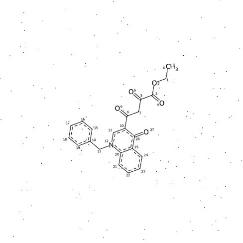 CCOC(=O)C(=O)CC(=O)c1cn(Cc2ccccc2)c2ccccc2c1=O